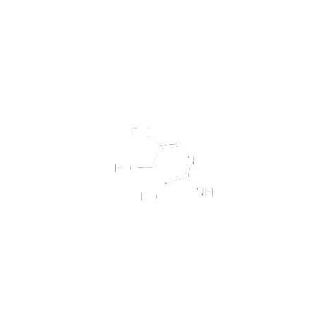 Cc1c(C(F)(F)F)cnc(N)c1C